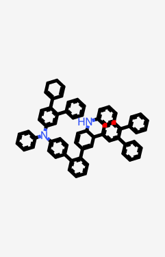 C1=CC(c2ccc(N(c3ccccc3)c3ccc(-c4ccccc4C4=CC(c5ccc(-c6ccccc6)c(-c6ccccc6)c5)C(Nc5ccccc5)C=C4)cc3)cc2-c2ccccc2)=CCC1